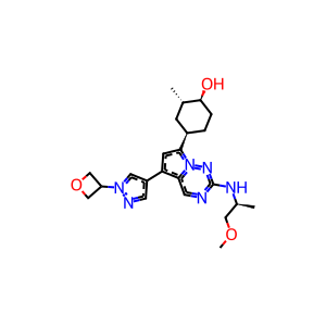 COC[C@H](C)Nc1ncc2c(-c3cnn(C4COC4)c3)cc([C@@H]3CC[C@H](O)[C@@H](C)C3)n2n1